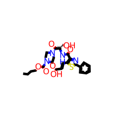 CCCCOC(=O)N1CCN(C(=O)[C@H](CO)NC(=O)c2nc(-c3ccccc3)sc2C=CC(=O)O)CC1